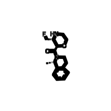 C[C@H]1c2ccccc2CCN1C(=O)[C@@H]1OCCN[C@H]1CF